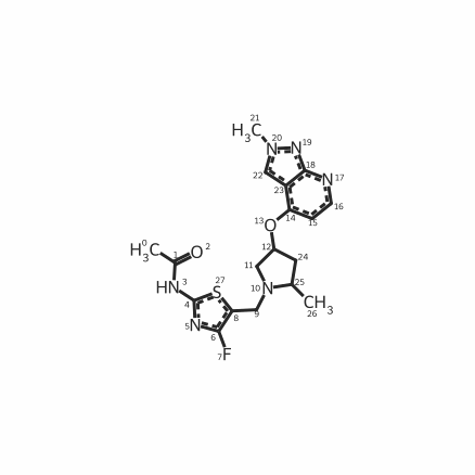 CC(=O)Nc1nc(F)c(CN2CC(Oc3ccnc4nn(C)cc34)CC2C)s1